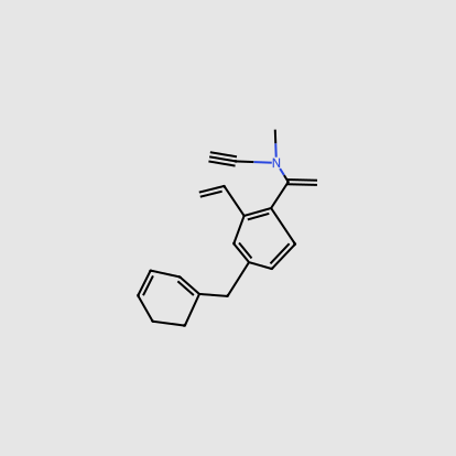 C#CN(C)C(=C)c1ccc(CC2=CC=CCC2)cc1C=C